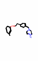 Cc1cccc(OCCc2ccc(CN3CCNCC3)cc2)c1